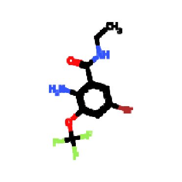 CCNC(=O)c1cc(Br)cc(OC(F)(F)F)c1N